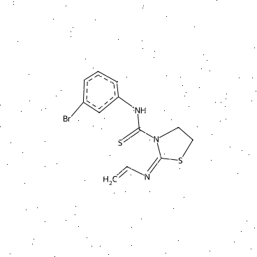 C=C/N=C1/SCCN1C(=S)Nc1cccc(Br)c1